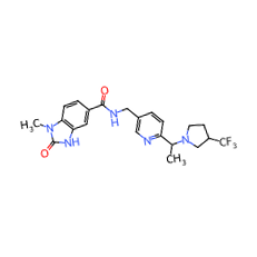 CC(c1ccc(CNC(=O)c2ccc3c(c2)[nH]c(=O)n3C)cn1)N1CCC(C(F)(F)F)C1